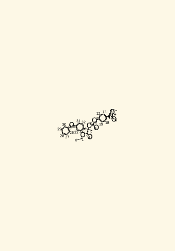 CCOC(=O)C(C)(OC(=O)Oc1ccc([N+](=O)[O-])cc1)c1ccc(Oc2ccccc2)cc1